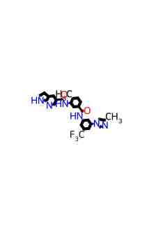 Cc1cn(-c2cc(NC(=O)c3ccc(C)c(NC(=O)c4cnc5[nH]ccc5c4)c3)cc(C(F)(F)F)c2)cn1